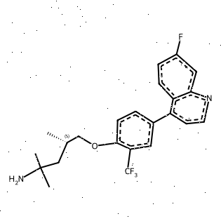 C[C@H](COc1ccc(-c2ccnc3cc(F)ccc23)cc1C(F)(F)F)CC(C)(C)N